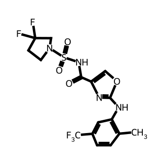 Cc1ccc(C(F)(F)F)cc1Nc1nc(C(=O)NS(=O)(=O)N2CCC(F)(F)C2)co1